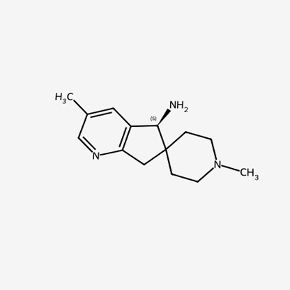 Cc1cnc2c(c1)[C@@H](N)C1(CCN(C)CC1)C2